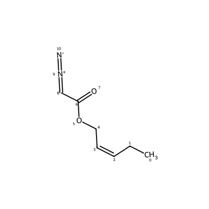 CC/C=C\COC(=O)C=[N+]=[N-]